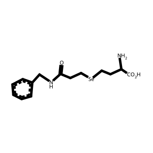 NC(CC[Se]CCC(=O)NCc1ccccc1)C(=O)O